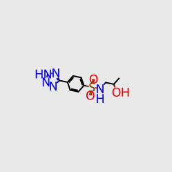 CC(O)CNS(=O)(=O)c1ccc(-c2nn[nH]n2)cc1